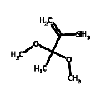 C=C([SiH3])C(C)(OC)OC